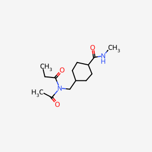 CCC(=O)N(CC1CCC(C(=O)NC)CC1)C(C)=O